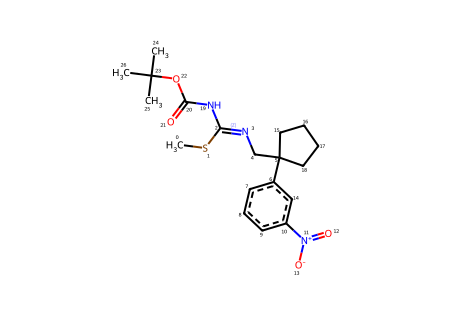 CS/C(=N\CC1(c2cccc([N+](=O)[O-])c2)CCCC1)NC(=O)OC(C)(C)C